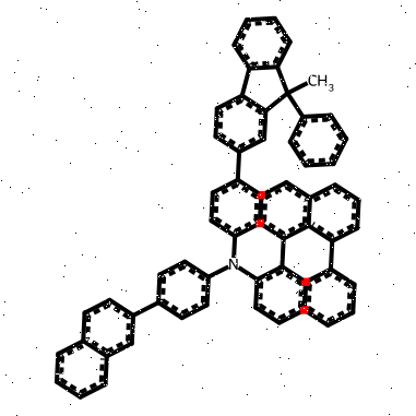 CC1(c2ccccc2)c2ccccc2-c2ccc(-c3ccc(N(c4ccc(-c5ccc6ccccc6c5)cc4)c4ccccc4-c4cccc5cccc(-c6ccccc6)c45)cc3)cc21